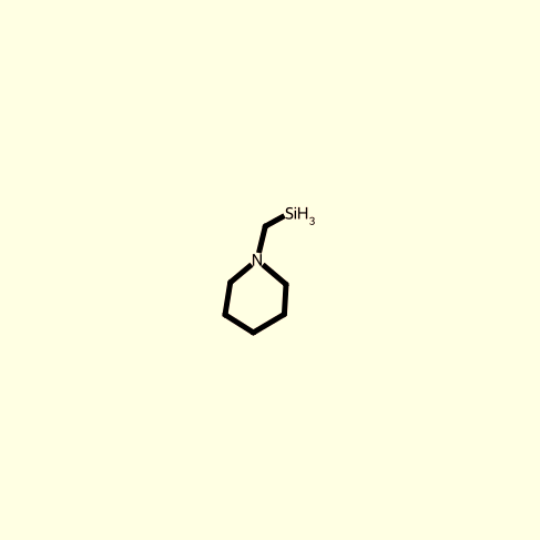 [SiH3]CN1CCCCC1